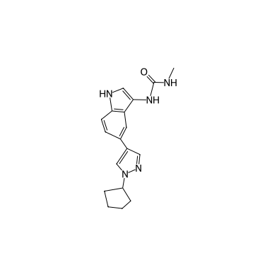 CNC(=O)Nc1c[nH]c2ccc(-c3cnn(C4CCCC4)c3)cc12